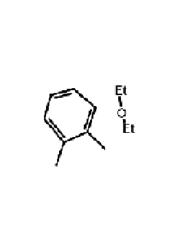 CCOCC.Cc1ccccc1C